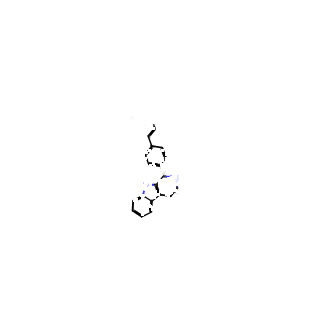 C[C@@H]1Cc2c([nH]c3ccccc23)[C@H](c2ccc(C=CC(=O)O)cc2)N1